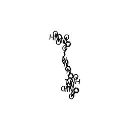 CCc1cc(N2CCC(N3CCN(CCCCOc4cccc5c4CN(C4CCC(=O)NC4=O)C5=O)CC3)CC2)cc(OC)c1Nc1ncc(Cl)c(Nc2ccccc2P(C)(C)=O)n1